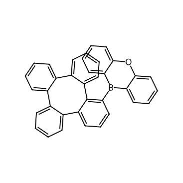 c1ccc2c(c1)Oc1ccccc1B2c1cccc2c1-c1ccccc1-c1ccccc1-c1ccccc1-2